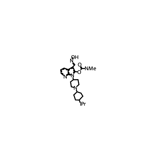 CNC(=O)Oc1c(C=NO)c2cccnc2n1C1CCN(C2CCC(C(C)C)CC2)CC1